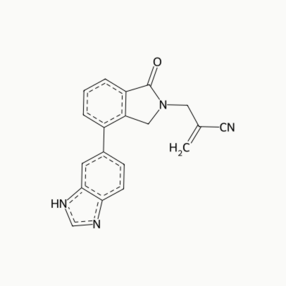 C=C(C#N)CN1Cc2c(cccc2-c2ccc3nc[nH]c3c2)C1=O